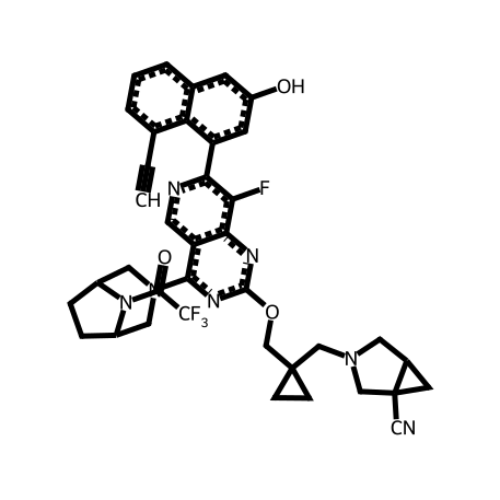 C#Cc1cccc2cc(O)cc(-c3ncc4c(N5CC6CCC(C5)N6C(=O)C(F)(F)F)nc(OCC5(CN6CC7CC7(C#N)C6)CC5)nc4c3F)c12